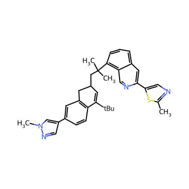 Cc1ncc(-c2cc3cccc(C(C)(C)CC4C=C(C(C)(C)C)c5ccc(-c6cnn(C)c6)cc5C4)c3cn2)s1